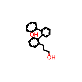 OCCCc1cccc(O)c1-c1ccccc1-c1ccccc1